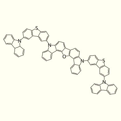 C1=CC2c3ccccc3N(c3ccc4sc5ccc(-n6c7ccccc7c7c8oc9c(ccc%10c9c9ccccc9n%10-c9ccc%10sc%11ccc(-n%12c%13ccccc%13c%13ccccc%13%12)cc%11c%10c9)c8ccc76)cc5c4c3)C2C=C1